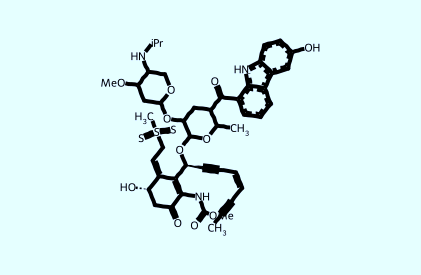 CC#C/C=C\C#C[C@H](OC1OC(C)C(C(=O)c2cccc3c2[nH]c2ccc(O)cc23)CC1OC1CC(OC)C(NC(C)C)CO1)C1=C(NC(=O)OC)C(=O)C[C@H](O)/C1=C/CS(C)(=S)=S